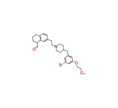 COCCOc1cc(Br)cc(CC2CCN(CCc3ccc4c(c3)C(C=O)CCC4)CC2)c1